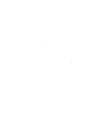 Cc1ccc(Nc2ccc3c(ccn3Cc3ccccc3)c2)c(C(=O)O)c1